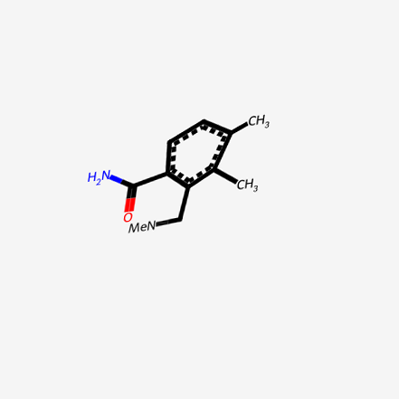 CNCc1c(C(N)=O)ccc(C)c1C